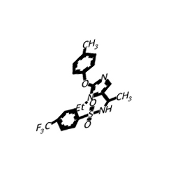 CCn1c(C(C)NS(=O)(=O)c2ccc(C(F)(F)F)cc2)cnc1Oc1ccc(C)cc1